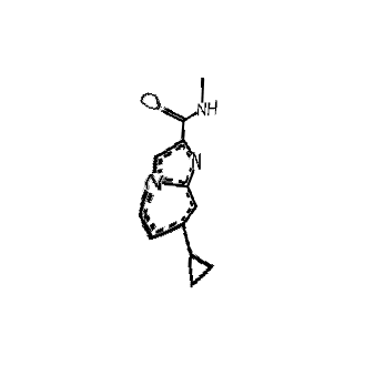 CNC(=O)c1cn2ccc(C3CC3)cc2n1